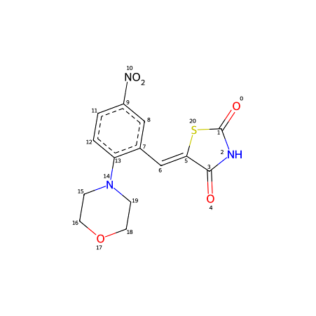 O=C1NC(=O)/C(=C/c2cc([N+](=O)[O-])ccc2N2CCOCC2)S1